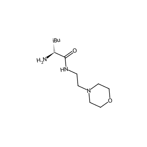 CC[C@@H](C)[C@H](N)C(=O)NCCN1CCOCC1